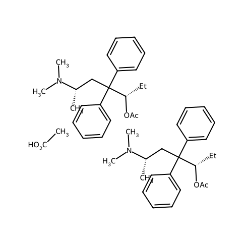 CC(=O)O.CC[C@H](OC(C)=O)C(C[C@H](C)N(C)C)(c1ccccc1)c1ccccc1.CC[C@H](OC(C)=O)C(C[C@H](C)N(C)C)(c1ccccc1)c1ccccc1